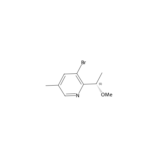 CO[C@@H](C)c1ncc(C)cc1Br